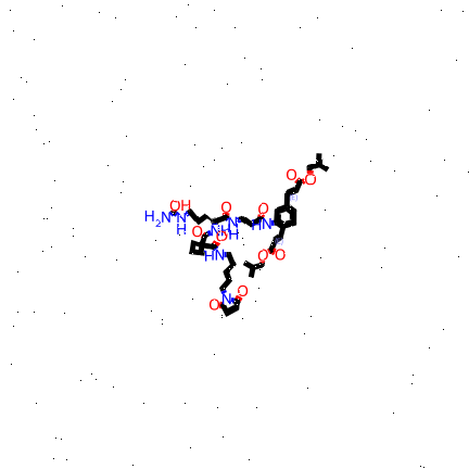 CC(C)COC(=O)/C=C/c1ccc(/C=C/C(=O)OCC(C)C)c(NC(=O)CCNC(=O)[C@H](CCCNC(N)O)NC(=O)C2(C(=O)NCCCCCN3C(=O)C=CC3=O)CCC2)c1